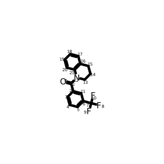 O=C(c1cccc(C(F)(F)F)c1)N1CCCc2ccc[c]c21